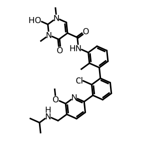 COc1nc(-c2cccc(-c3cccc(NC(=O)C4=CN(C)C(O)N(C)C4=O)c3C)c2Cl)ccc1CNC(C)C